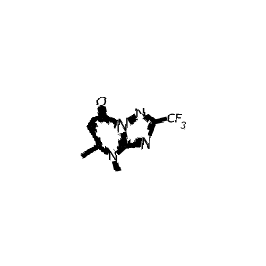 Cc1cc(=O)n2nc(C(F)(F)F)nc2n1C